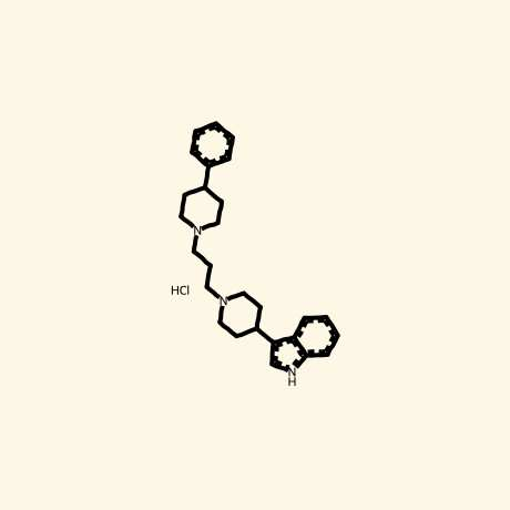 Cl.c1ccc(C2CCN(CCCN3CCC(c4c[nH]c5ccccc45)CC3)CC2)cc1